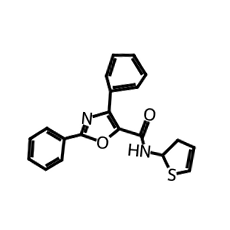 O=C(NC1CC=CS1)c1oc(-c2ccccc2)nc1-c1ccccc1